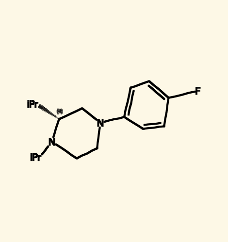 CC(C)[C@@H]1CN(c2ccc(F)cc2)CCN1C(C)C